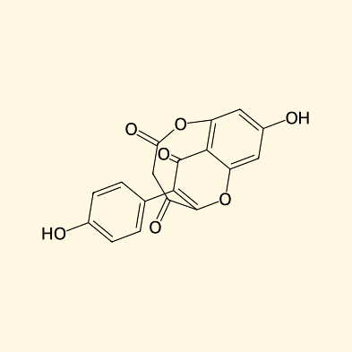 O=C1CC(=O)c2oc3cc(O)cc(c3c(=O)c2-c2ccc(O)cc2)O1